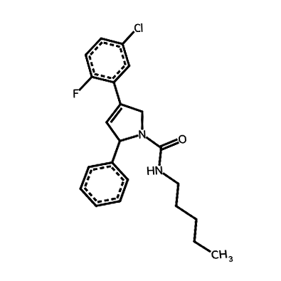 CCCCCNC(=O)N1CC(c2cc(Cl)ccc2F)=CC1c1ccccc1